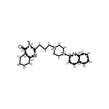 Cn1c(CCCN2CCN(c3ccc4ccccc4n3)CC2)nc2c(c1=O)CCCC2